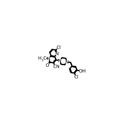 Cn1c(=O)c(C#N)c(N2CCN(Cc3ccc(Cl)c(O)c3)CC2)c2nc(Cl)ccc21